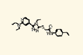 CCc1ccc(NC(=O)CSc2nnc(-c3ccnc(N(CC)CC)c3)n2CC)cc1